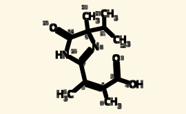 CC(C(=O)O)=C(C)C1=NC(C)(C(C)C)C(=O)N1